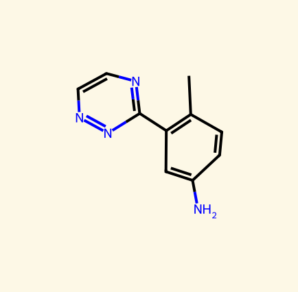 Cc1ccc(N)cc1-c1nccnn1